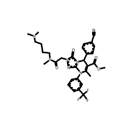 COC(=O)C1=C(C)N(c2cccc(C(F)(F)F)c2)c2nn(CC(=O)N(C)CCCCN(C)C)c(=O)n2C1c1ccc(C#N)cc1